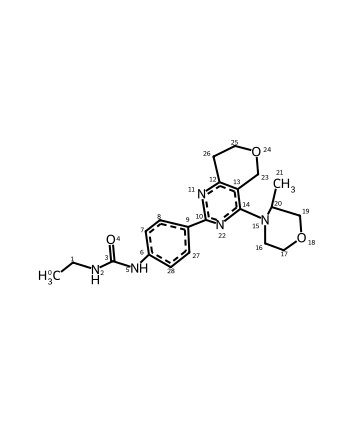 CCNC(=O)Nc1ccc(-c2nc3c(c(N4CCOCC4C)n2)COCC3)cc1